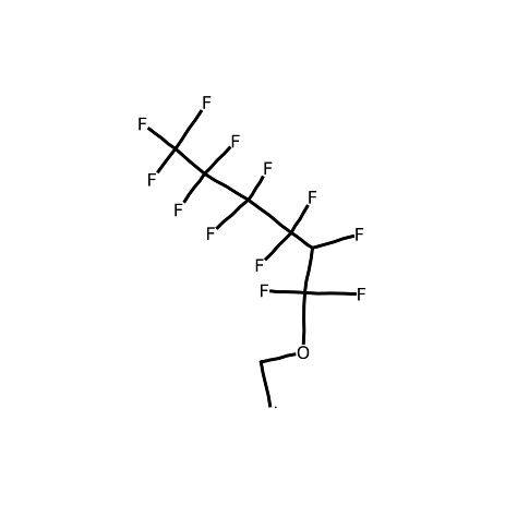 [CH2]COC(F)(F)C(F)C(F)(F)C(F)(F)C(F)(F)C(F)(F)F